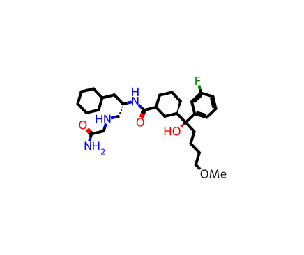 COCCCC[C@@](O)(c1cccc(F)c1)[C@@H]1CCCC(C(=O)N[C@H](CNCC(N)=O)CC2CCCCC2)C1